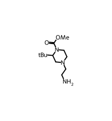 COC(=O)N1CCN(CCN)CC1C(C)(C)C